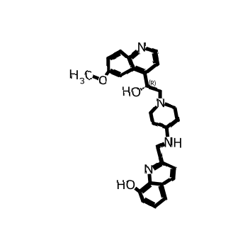 COc1ccc2nccc([C@@H](O)CN3CCC(NCc4ccc5cccc(O)c5n4)CC3)c2c1